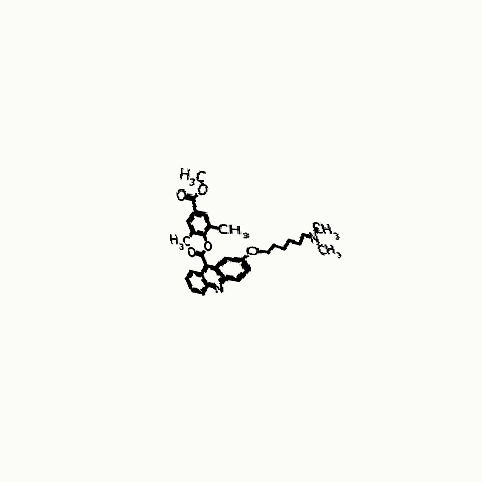 COC(=O)c1cc(C)c(OC(=O)c2c3ccccc3nc3ccc(OCCCCCCN(C)C)cc23)c(C)c1